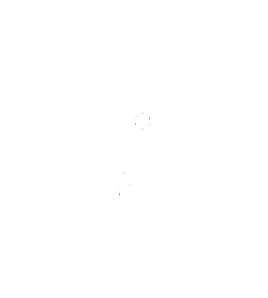 C=CC(=O)NCCCCOc1ccc(CC)cc1